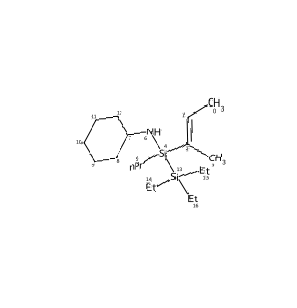 C/C=C(\C)[Si](CCC)(NC1CCCCC1)[Si](CC)(CC)CC